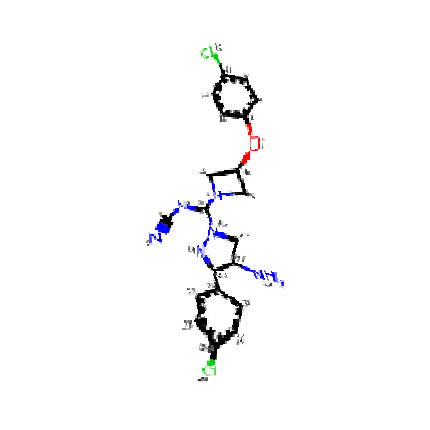 N#CN=C(N1CC(Oc2ccc(Cl)cc2)C1)N1CC(N)C(c2ccc(Cl)cc2)=N1